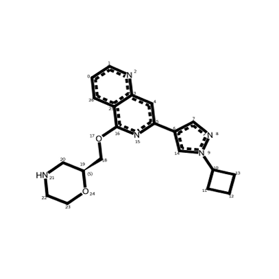 c1cnc2cc(-c3cnn(C4CCC4)c3)nc(OC[C@@H]3CNCCO3)c2c1